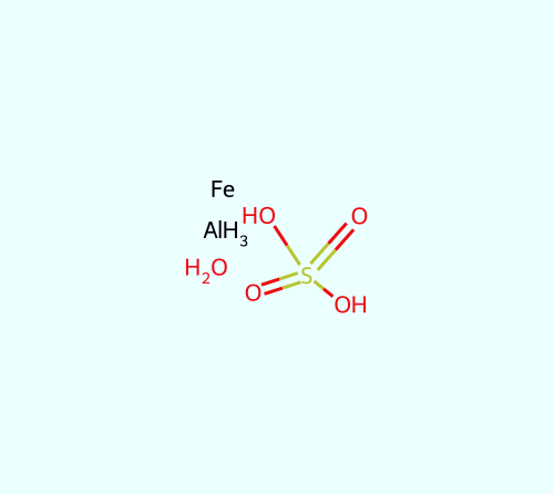 O.O=S(=O)(O)O.[AlH3].[Fe]